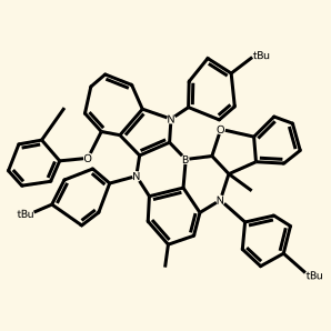 Cc1cc2c3c(c1)N(c1ccc(C(C)(C)C)cc1)C1(C)c4ccccc4OC1B3c1c(c3c(n1-c1ccc(C(C)(C)C)cc1)C=CCC=C3Oc1ccccc1C)N2c1ccc(C(C)(C)C)cc1